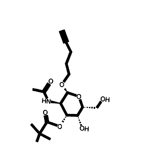 C#CCCCO[C@@H]1O[C@H](CO)[C@H](O)[C@H](OC(=O)C(C)(C)C)[C@H]1NC(C)=O